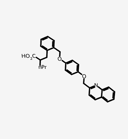 CCCC(Cc1ccccc1COc1ccc(OCc2ccc3ccccc3n2)cc1)C(=O)O